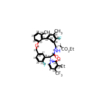 CCOC(=O)C[C@@H]1NC(=O)[C@H](n2ccc(C(F)(F)F)c(CC)c2=O)c2cc(ccc2F)COc2cccc(C)c2-c2cc(C)c(F)c1c2